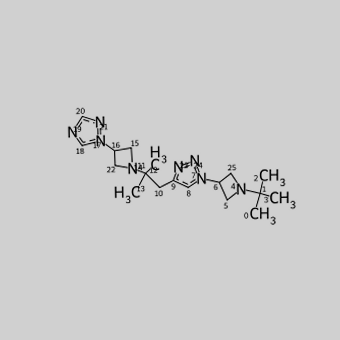 CC(C)(C)N1CC(n2cc(CC(C)(C)N3CC(n4cncn4)C3)nn2)C1